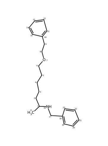 CC(CCCCCOCCc1ccccc1)NCc1ccccc1